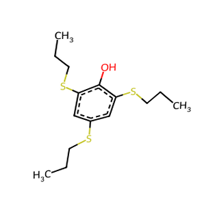 CCCSc1cc(SCCC)c(O)c(SCCC)c1